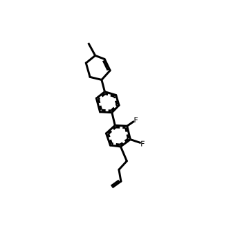 C=CCCc1ccc(-c2ccc(C3C=CC(C)CC3)cc2)c(F)c1F